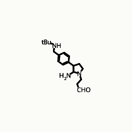 CC(C)(C)NCc1ccc(C2CCN(CCC=O)C2N)cc1